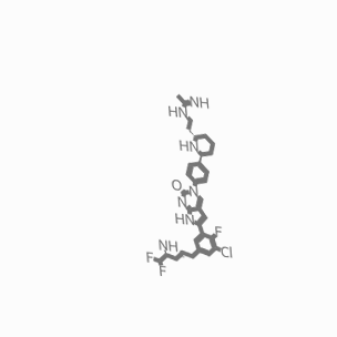 CC(=N)NCC[C@@H]1CCC[C@@H](c2ccc(-n3cc4cc(-c5cc(CCC[C@@H](N)C(F)F)cc(Cl)c5F)[nH]c4nc3=O)cc2)N1